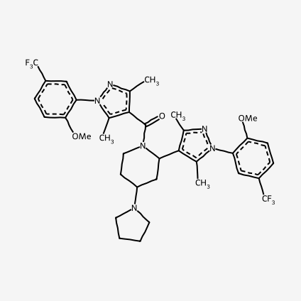 COc1ccc(C(F)(F)F)cc1-n1nc(C)c(C(=O)N2CCC(N3CCCC3)CC2c2c(C)nn(-c3cc(C(F)(F)F)ccc3OC)c2C)c1C